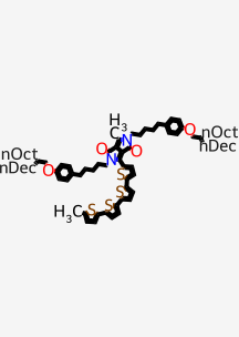 CCCCCCCCCCC(CCCCCCCC)COc1ccc(CCCCCN2C(=O)C3=C(c4ccc(-c5ccc(-c6ccc(-c7ccc(C)s7)s6)s5)s4)N(CCCCCc4ccc(OCC(CCCCCCCC)CCCCCCCCCC)cc4)C(=O)C3=C2C)cc1